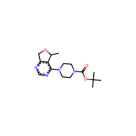 CC1OCc2ncnc(N3CCN(C(=O)OC(C)(C)C)CC3)c21